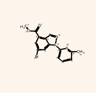 COC(=O)c1cc(Br)cc2c1cnn2-c1cccc(C)n1